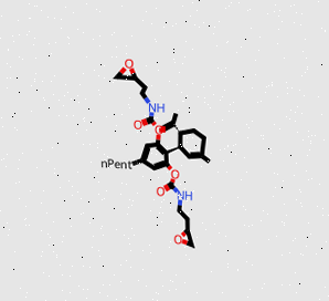 C=C(C)[C@@H]1CCC(C)=C[C@H]1c1c(OC(=O)NCCC2CO2)cc(CCCCC)cc1OC(=O)NCCC1CO1